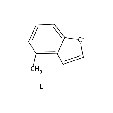 Cc1cccc2[cH-]ccc12.[Li+]